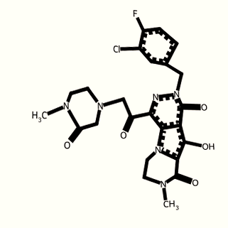 CN1CCN(CC(=O)c2nn(Cc3ccc(F)c(Cl)c3)c(=O)c3c(O)c4n(c23)CCN(C)C4=O)CC1=O